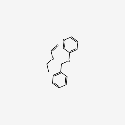 CCOC=O.c1ccc(COc2cccnc2)cc1